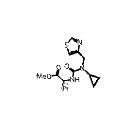 COC(=O)[C@@H](NC(=O)N(Cc1cscn1)C1CC1)C(C)C